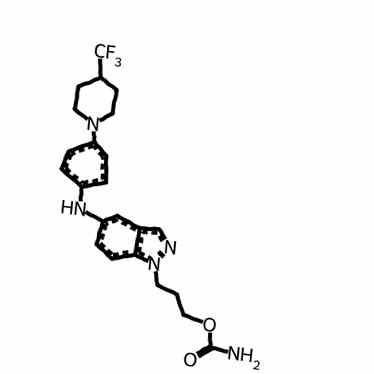 NC(=O)OCCCn1ncc2cc(Nc3ccc(N4CCC(C(F)(F)F)CC4)cc3)ccc21